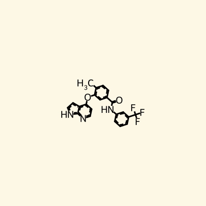 Cc1ccc(C(=O)Nc2cccc(C(F)(F)F)c2)cc1Oc1ccnc2[nH]ccc12